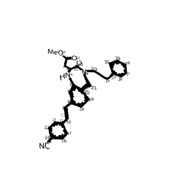 COC(=O)CC1Nc2cc(/C=C/c3ccc(C#N)cc3)ccc2CN(CCc2ccccc2)C1=O